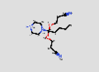 CCCCC(OCCC#N)(OCCC#N)N1CCNCC1